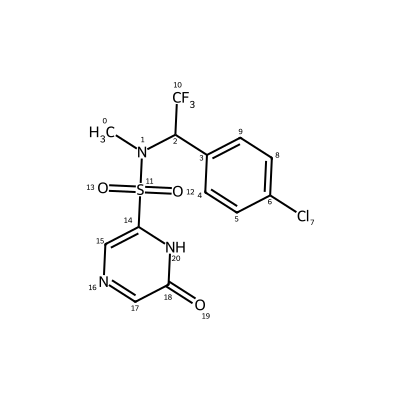 CN(C(c1ccc(Cl)cc1)C(F)(F)F)S(=O)(=O)c1cncc(=O)[nH]1